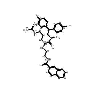 CN(CC(c1ccc(F)cc1)c1ccc(F)cc1)C(=O)[C@H](CCCNC(=N)N)NCCNC(=O)c1ccc2ccccc2c1